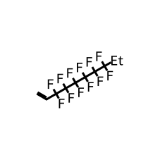 C=CC(F)(F)C(F)(F)C(F)(F)C(F)(F)C(F)(F)C(F)(F)CC